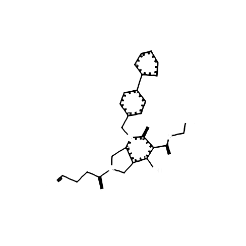 C=CCCC(=O)N1Cc2c(O)c(C(=O)NCC(=O)O)c(=O)n(Cc3ccc(-c4ccccc4)cc3)c2C1